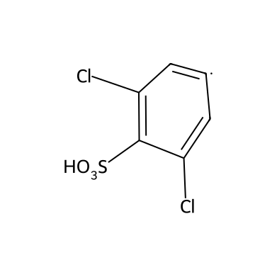 O=S(=O)(O)c1c(Cl)c[c]cc1Cl